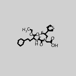 CCOC(=O)C(CCC1CCCCC1)NC1CSC(c2ccsc2)CN(CC(=O)O)C1=O